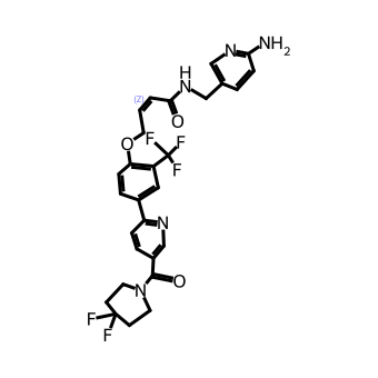 Nc1ccc(CNC(=O)/C=C\COc2ccc(-c3ccc(C(=O)N4CCC(F)(F)CC4)cn3)cc2C(F)(F)F)cn1